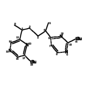 CC(CCC(C)c1ccnc(C(C)(C)C)n1)c1cncc(C(C)(C)C)n1